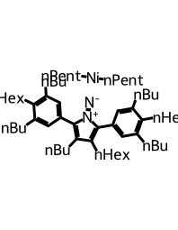 CCCCCCC1=C(c2cc(CCCC)c(CCCCCC)c(CCCC)c2)[N+](=[N-])C(c2cc(CCCC)c(CCCCCC)c(CCCC)c2)=C1CCCC.CCCC[CH2][Ni][CH2]CCCC